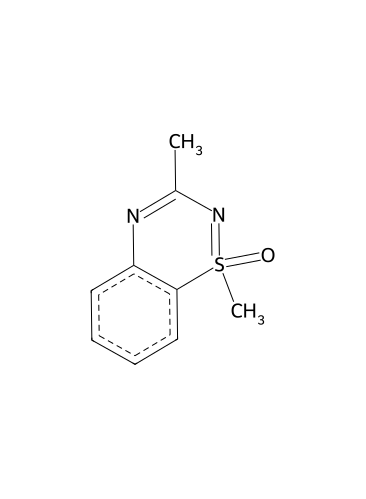 CC1=Nc2ccccc2S(C)(=O)=N1